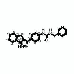 O=C(NCc1cccnc1)Nc1ccc(-c2n[nH]c3c2Cc2ccccc2-3)cc1